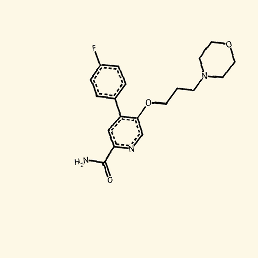 NC(=O)c1cc(-c2ccc(F)cc2)c(OCCCN2CCOCC2)cn1